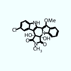 COc1c2n(c3ccccc13)[C@@]1(O)C(=O)N(C)C(=O)[C@@]1(O)c1c-2[nH]c2ccc(Cl)cc12